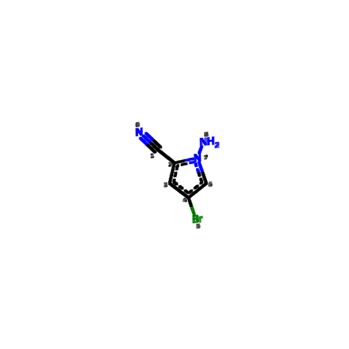 N#Cc1cc(Br)cn1N